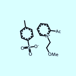 COCC[n+]1ccccc1C(C)=O.Cc1ccc(S(=O)(=O)[O-])cc1